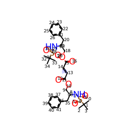 CC(C)(C)S(=O)(=O)N[C@H](COC(=O)/C=C/C(=O)OC[C@H](Cc1ccccc1)NS(=O)(=O)C(C)(C)C)Cc1ccccc1